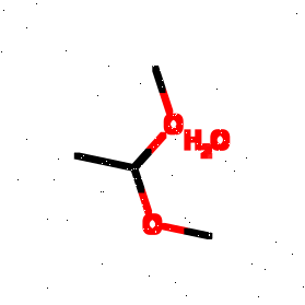 COC(C)OC.O